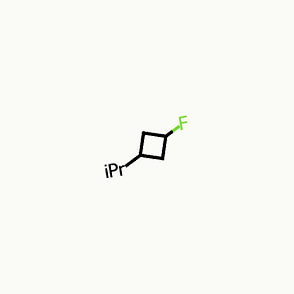 CC(C)C1CC(F)C1